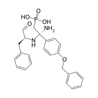 N[C@@](CP(=O)(O)O)(N[C@H](C=O)Cc1ccccc1)c1ccc(OCc2ccccc2)cc1